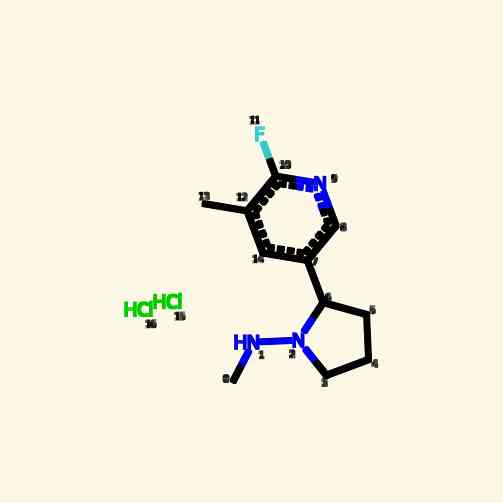 CNN1CCCC1c1cnc(F)c(C)c1.Cl.Cl